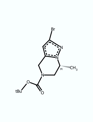 C[C@@H]1CN(C(=O)OC(C)(C)C)Cc2cc(Br)nn21